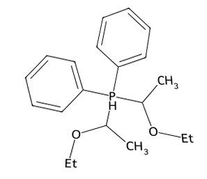 CCOC(C)[PH](c1ccccc1)(c1ccccc1)C(C)OCC